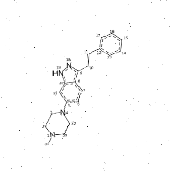 CN1CCN(c2ccc3c(/C=C/c4ccccc4)n[nH]c3c2)CC1